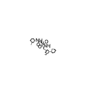 Cc1cccc(NC(=O)CN2C(=O)N/C(=C\c3cc(-c4ccccc4)cs3)C2=O)c1